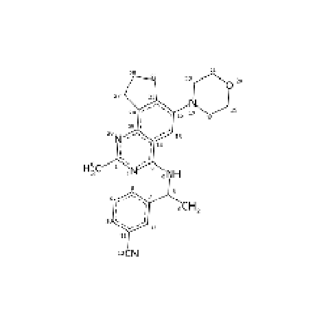 Cc1nc(NC(C)c2cccc(C#N)c2)c2cc(N3CCOCC3)c3c(c2n1)CCC3